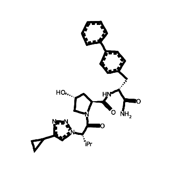 CC(C)[C@@H](C(=O)N1C[C@H](O)C[C@H]1C(=O)N[C@H](Cc1ccc(-c2ccccc2)cc1)C(N)=O)n1cc(C2CC2)nn1